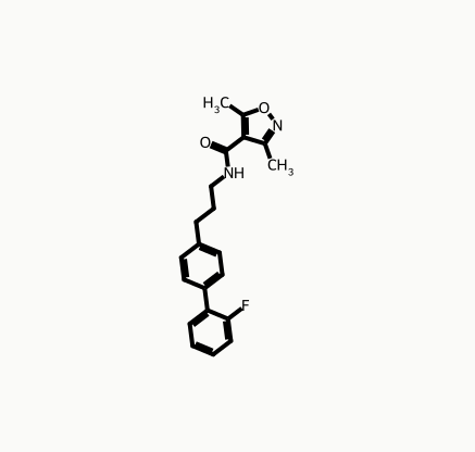 Cc1noc(C)c1C(=O)NCCCc1ccc(-c2ccccc2F)cc1